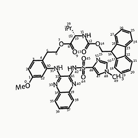 COc1ccc(CCOC(=O)[C@@H](NC(=O)OCC2c3ccccc3-c3ccccc32)C(C)C)c(Nc2nc3ccccc3nc2NS(=O)(=O)c2cn(C)cn2)c1